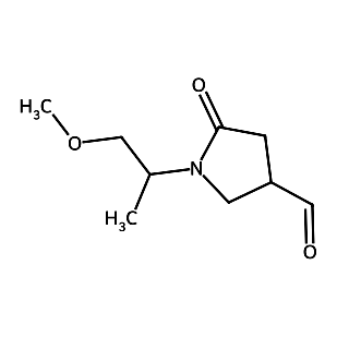 COCC(C)N1CC(C=O)CC1=O